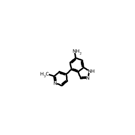 Cc1cc(-c2cc(N)cc3[nH]ncc23)ccn1